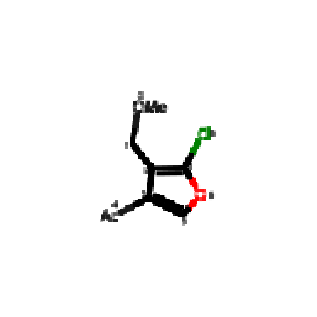 COCc1c(C(C)=O)coc1Cl